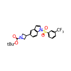 CC(C)(C)OC(=O)N1CC(c2ccc3c(ccn3S(=O)(=O)c3cccc(C(F)(F)F)c3)c2)C1